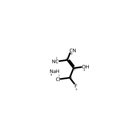 N#CC(C#N)=C(O)C(F)Cl.[NaH]